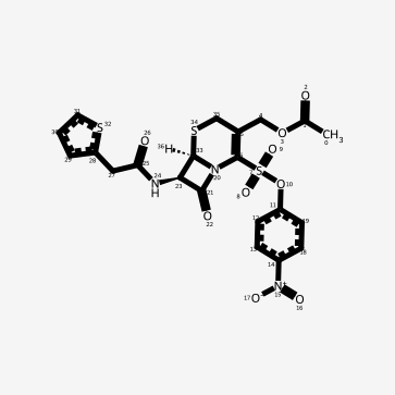 CC(=O)OCC1=C(S(=O)(=O)Oc2ccc([N+](=O)[O-])cc2)N2C(=O)[C@@H](NC(=O)Cc3cccs3)[C@H]2SC1